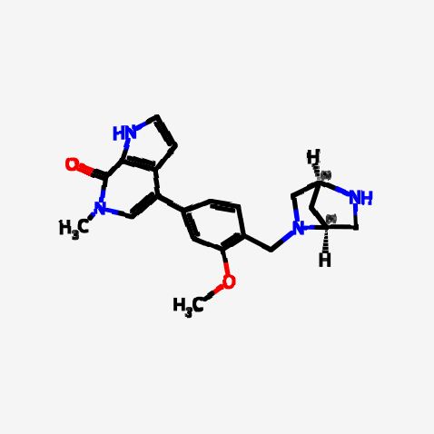 COc1cc(-c2cn(C)c(=O)c3[nH]ccc23)ccc1CN1C[C@@H]2C[C@H]1CN2